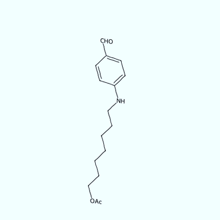 CC(=O)OCCCCCCCNc1ccc(C=O)cc1